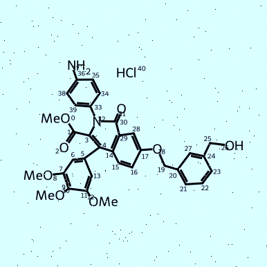 COC(=O)c1c(-c2cc(OC)c(OC)c(OC)c2)c2ccc(OCc3cccc(CO)c3)cc2c(=O)n1-c1ccc(N)cc1.Cl